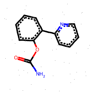 NC(=O)Oc1ccccc1-c1ccccn1